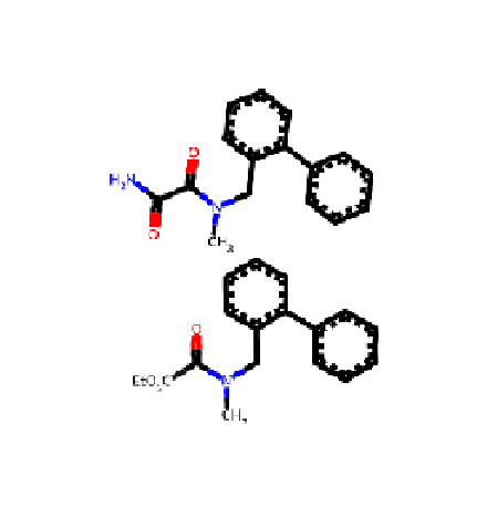 CCOC(=O)C(=O)N(C)Cc1ccccc1-c1ccccc1.CN(Cc1ccccc1-c1ccccc1)C(=O)C(N)=O